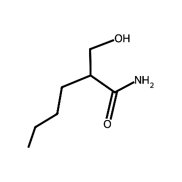 CCCCC(CO)C(N)=O